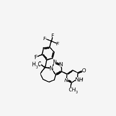 Cc1nc(-c2nnn3c2CCCCC3(C)c2ccc(C(F)(F)F)cc2F)cc(=O)[nH]1